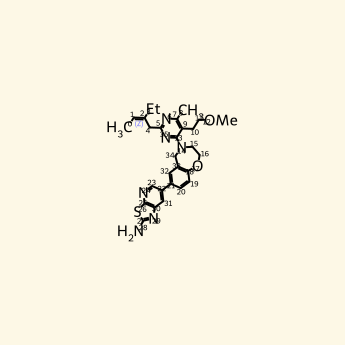 C/C=C(/CC)Cc1nc(C)c(CCOC)c(N2CCOc3ccc(-c4cnc5sc(N)nc5c4)cc3C2)n1